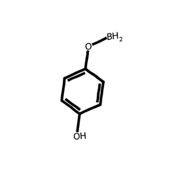 BOc1ccc(O)cc1